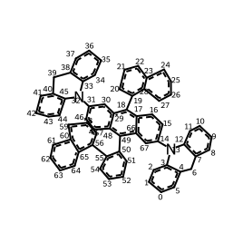 c1ccc2c(c1)Cc1ccccc1N2c1ccc2c(-c3cccc4ccccc34)c3cc(N4c5ccccc5Cc5ccccc54)ccc3c(-c3ccccc3-c3cccc4ccccc34)c2c1